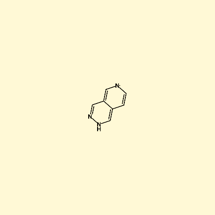 C1=CC2=CNN=CC2=C[N]1